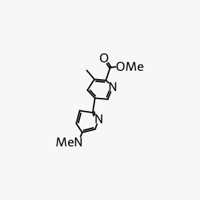 CNc1ccc(-c2cnc(C(=O)OC)c(C)c2)nc1